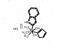 Cl.Cl.[CH3][Ti]([CH3])([CH3])([CH3])([CH3])([C]1=CC=CC1)[c]1cc2ccccc2[nH]1